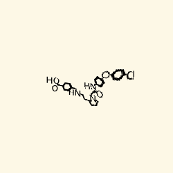 O=C(CN1CCCC1CCNCc1ccc(C(=O)O)cc1)Nc1ccc(Oc2ccc(Cl)cc2)cc1